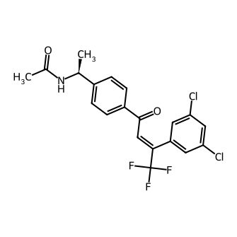 CC(=O)N[C@@H](C)c1ccc(C(=O)/C=C(\c2cc(Cl)cc(Cl)c2)C(F)(F)F)cc1